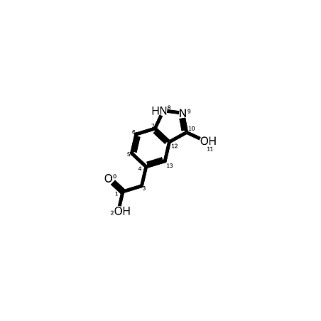 O=C(O)Cc1ccc2[nH]nc(O)c2c1